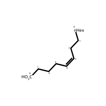 CCCCCCCC/C=C\CCCC(=O)O